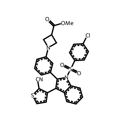 COC(=O)C1CN(c2cccc(-c3c(-c4ccsc4C#N)c4ccccc4n3S(=O)(=O)c3ccc(Cl)cc3)c2)C1